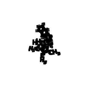 CC1=C(C)[CH]([Hf][C]2(C)C=Cc3cc4c(cc32)CCC4)C(C)=C1C